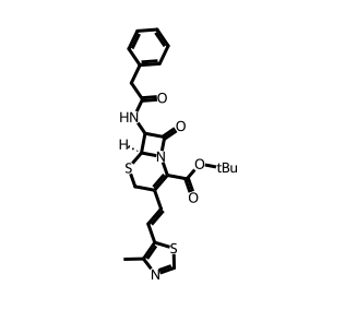 Cc1ncsc1C=CC1=C(C(=O)OC(C)(C)C)N2C(=O)C(NC(=O)Cc3ccccc3)[C@@H]2SC1